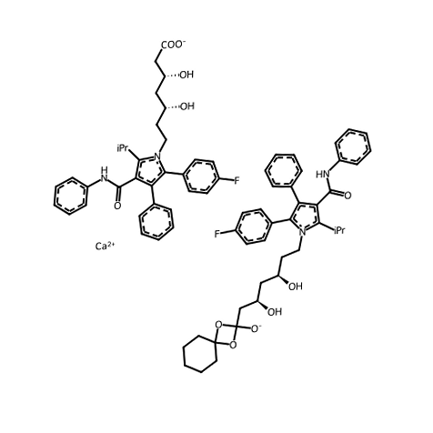 CC(C)c1c(C(=O)Nc2ccccc2)c(-c2ccccc2)c(-c2ccc(F)cc2)n1CC[C@@H](O)C[C@@H](O)CC(=O)[O-].CC(C)c1c(C(=O)Nc2ccccc2)c(-c2ccccc2)c(-c2ccc(F)cc2)n1CC[C@@H](O)C[C@@H](O)CC1([O-])OC2(CCCCC2)O1.[Ca+2]